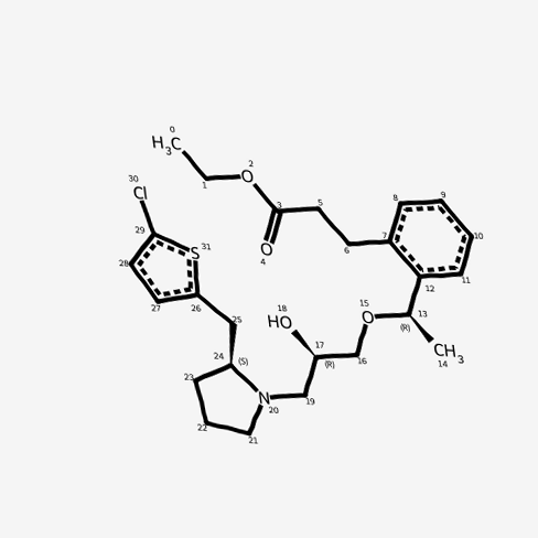 CCOC(=O)CCc1ccccc1[C@@H](C)OC[C@H](O)CN1CCC[C@H]1Cc1ccc(Cl)s1